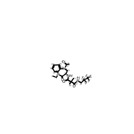 CCN1C(=O)[C@@H](NC(=O)C(C)(C)C(=O)NCC(F)(F)C(F)(F)F)CN(C(C)=O)c2ccccc21